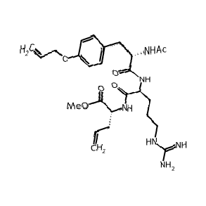 C=CCOc1ccc(C[C@H](NC(C)=O)C(=O)N[C@@H](CCCNC(=N)N)C(=O)N[C@H](CC=C)C(=O)OC)cc1